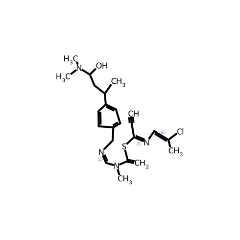 C#C/C(=N\C=C(/C)Cl)SC(=C)N(C)/C=N\Cc1ccc(C(C)CC(O)N(C)C)cc1